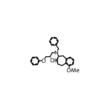 COc1cccc2c1CCCC(N(Cc1ccccc1)C[C@H](O)COc1ccccc1)C2